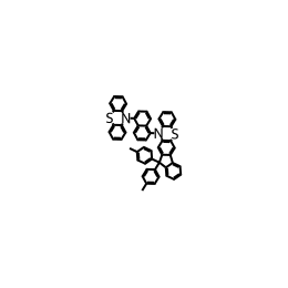 Cc1ccc(C2(c3ccc(C)cc3)c3ccccc3-c3cc4c(cc32)N(c2cccc3c(N5c6ccccc6Sc6ccccc65)cccc23)c2ccccc2S4)cc1